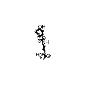 CN[C@H](CCCCNC(=O)O[C@@H]1/C=C/CC[C@@H](O)CC1)C(C)=O